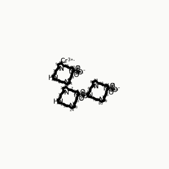 O=S(=O)([O-])c1cc2cc3nc(cc4ccc(cc5nc(cc1[nH]2)C=C5)[nH]4)C=C3.O=S(=O)([O-])c1cc2cc3nc(cc4ccc(cc5nc(cc1[nH]2)C=C5)[nH]4)C=C3.O=S(=O)([O-])c1cc2cc3nc(cc4ccc(cc5nc(cc1[nH]2)C=C5)[nH]4)C=C3.[Cr+3]